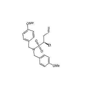 C=CC[C@@H](CC)S(=O)(=O)N(Cc1ccc(OC)cc1)Cc1ccc(OC)cc1